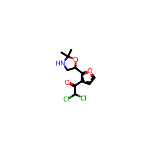 CC1(C)NCC(c2occc2C(=O)C(Cl)Cl)O1